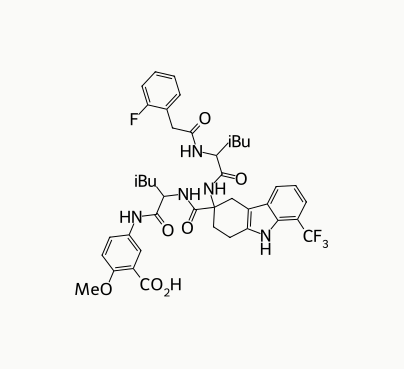 CCC(C)C(NC(=O)Cc1ccccc1F)C(=O)NC1(C(=O)NC(C(=O)Nc2ccc(OC)c(C(=O)O)c2)C(C)CC)CCc2[nH]c3c(C(F)(F)F)cccc3c2C1